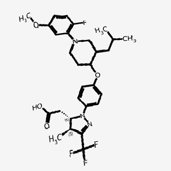 COc1ccc(F)c(N2CCC(Oc3ccc(N4N=C(C(F)(F)F)[C@@H](C)[C@@H]4CC(=O)O)cc3)C(CC(C)C)C2)c1